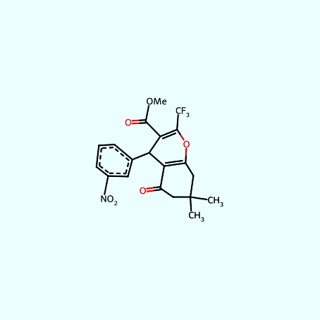 COC(=O)C1=C(C(F)(F)F)OC2=C(C(=O)CC(C)(C)C2)C1c1cccc([N+](=O)[O-])c1